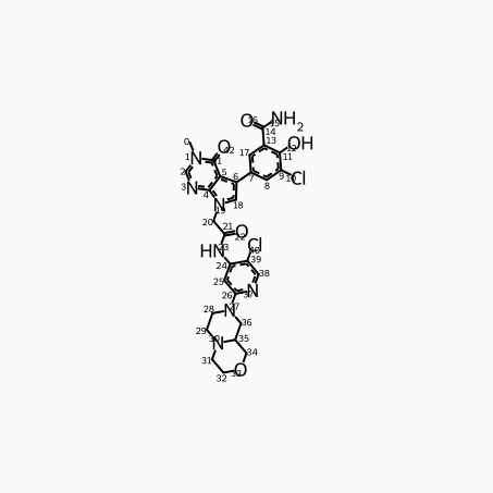 Cn1cnc2c(c(-c3cc(Cl)c(O)c(C(N)=O)c3)cn2CC(=O)Nc2cc(N3CCN4CCOCC4C3)ncc2Cl)c1=O